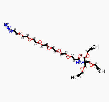 C#CCOCC(COCC#C)(COCC#C)NC(=O)CCOCCOCCOCCOCCOCCOCCN=[N+]=[N-]